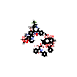 CC(=O)O[C@H]1C(=O)[C@@]2(C)[C@H]([C@H](OC(=O)c3ccccc3)[C@]3(O)C[C@H](OC(=O)[C@H](O)[C@@H](NC(=O)c4ccccc4)c4ccccc4)C(C)=C1C3(C)C)[C@]1(OC(C)=O)CO[C@@H]1C[C@@H]2O.CC[C@]12C=CCN3CC[C@@]4(c5cc([C@@]6(C(=O)OC)C[C@H]7C[C@@H](C(C)(F)F)C[N@](Cc8c6[nH]c6ccccc86)C7)c(OC)cc5N(C)[C@H]4[C@@](O)(C(=O)OC)[C@@H]1OC(C)=O)[C@@H]32